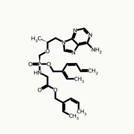 C=C/C=C\C(=C/C)CO[P@](=O)(CO[C@H](C)Cn1cnc2c(N)ncnc21)NCC(=O)OCC(/C=C\C)=C/C